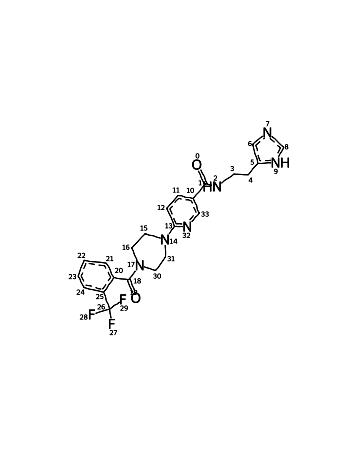 O=C(NCCc1cnc[nH]1)c1ccc(N2CCN(C(=O)c3ccccc3C(F)(F)F)CC2)nc1